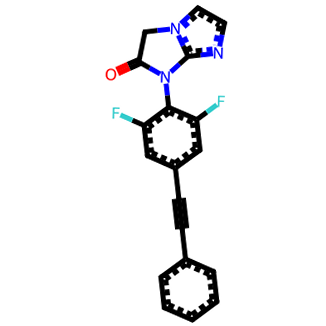 O=C1Cn2ccnc2N1c1c(F)cc(C#Cc2ccccc2)cc1F